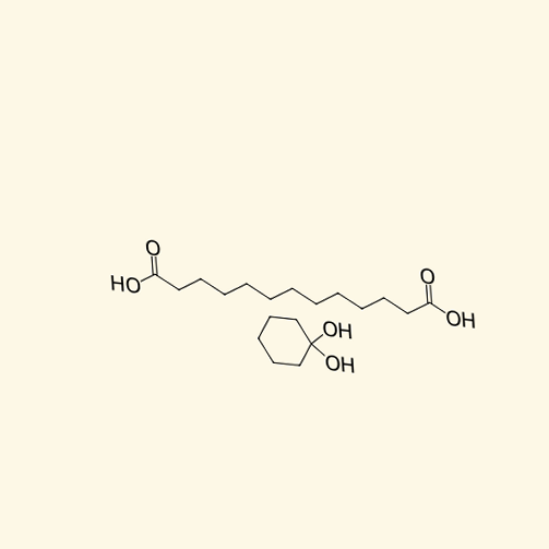 O=C(O)CCCCCCCCCCCC(=O)O.OC1(O)CCCCC1